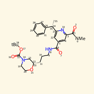 CNC(=O)c1cc(C(=O)NCCC[C@H]2CN(C(=O)OC(C)(C)C)CCO2)cc([C@@H](C)c2ccccc2)n1